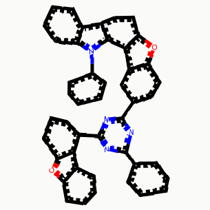 c1ccc(-c2nc(-c3ccc4oc5ccc6c7ccccc7n(-c7ccccc7)c6c5c4c3)nc(-c3cccc4oc5ccccc5c34)n2)cc1